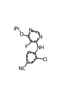 CC(C)Oc1ncnc(Nc2ccc(C#N)cc2Cl)c1F